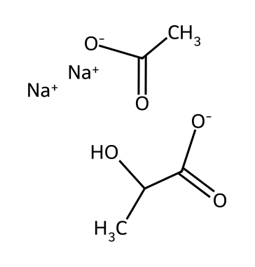 CC(=O)[O-].CC(O)C(=O)[O-].[Na+].[Na+]